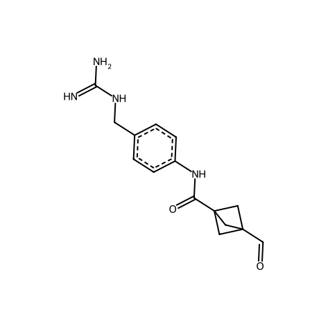 N=C(N)NCc1ccc(NC(=O)C23CC(C=O)(C2)C3)cc1